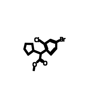 COC(=O)C(c1ccc(Br)cc1Cl)C1CCCC1